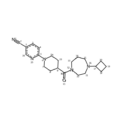 N#Cc1ccc(N2CCC(C(=O)N3CCCN(C4CCC4)CC3)CC2)nc1